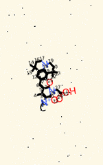 [C-]#[N+]C1=C(C)/C(=C/c2cc3c4c(c2)C(C)(C)CCN4CCC3(C)C)C(=O)N(CC(=O)O)C1=O